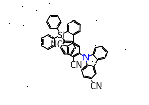 N#Cc1ccc2c(c1)c1ccccc1n2-c1cc(-c2ccccc2[Si](c2ccccc2)(c2ccccc2)c2ccccc2)c(C#N)cc1C#N